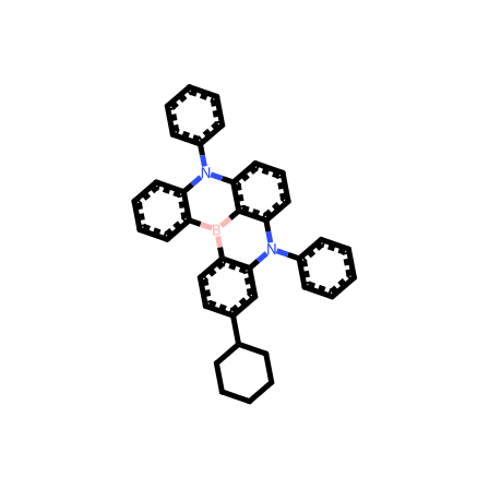 c1ccc(N2c3ccccc3B3c4ccc(C5CCCCC5)cc4N(c4ccccc4)c4cccc2c43)cc1